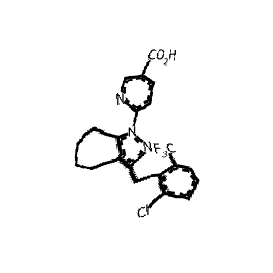 O=C(O)c1ccc(-n2nc(Cc3c(Cl)cccc3C(F)(F)F)c3c2CCCC3)nc1